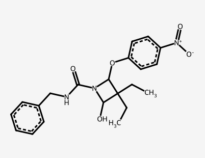 CCC1(CC)C(O)N(C(=O)NCc2ccccc2)C1Oc1ccc([N+](=O)[O-])cc1